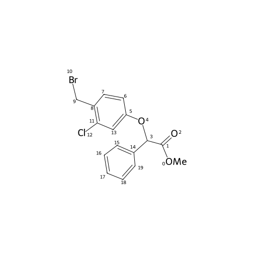 COC(=O)C(Oc1ccc(CBr)c(Cl)c1)c1ccccc1